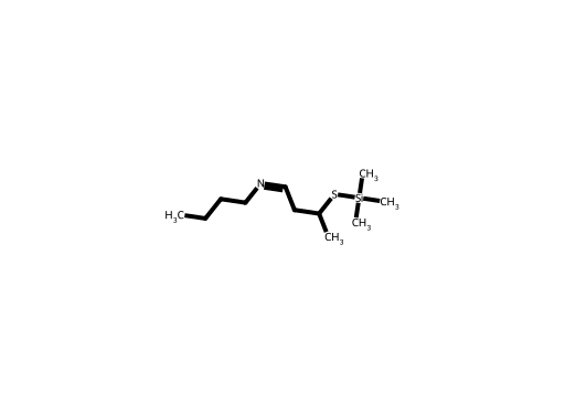 CCCC/N=C\CC(C)S[Si](C)(C)C